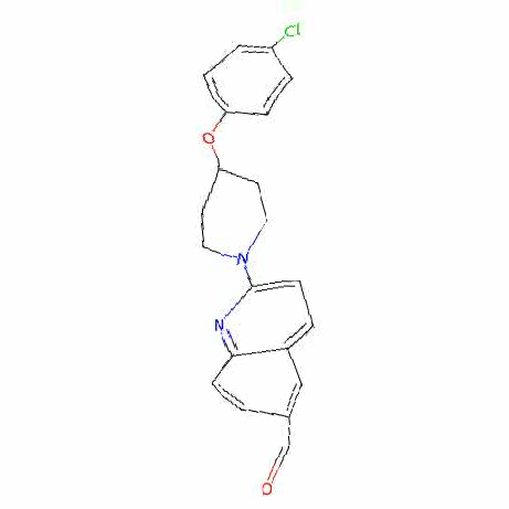 O=Cc1ccc2nc(N3CCC(Oc4ccc(Cl)cc4)CC3)ccc2c1